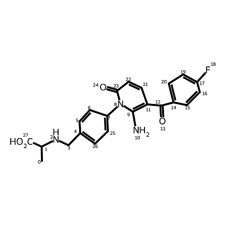 CC(NCc1ccc(-n2c(N)c(C(=O)c3ccc(F)cc3)ccc2=O)cc1)C(=O)O